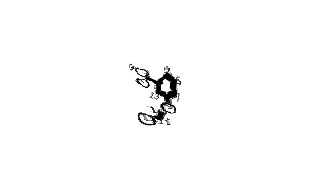 COC(=O)c1cccc(OC[C]=O)c1